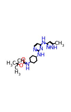 Cc1cc(Nc2ccnc(N[C@H]3CC[C@H](NC(=O)OC(C)(C)C)CC3)n2)n[nH]1